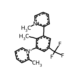 Cc1c(-c2cccc[n+]2C)cc(C(F)(F)F)cc1-[n+]1ccccc1C